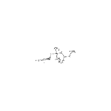 CCC(C)CC(C)(C)CN=C=O